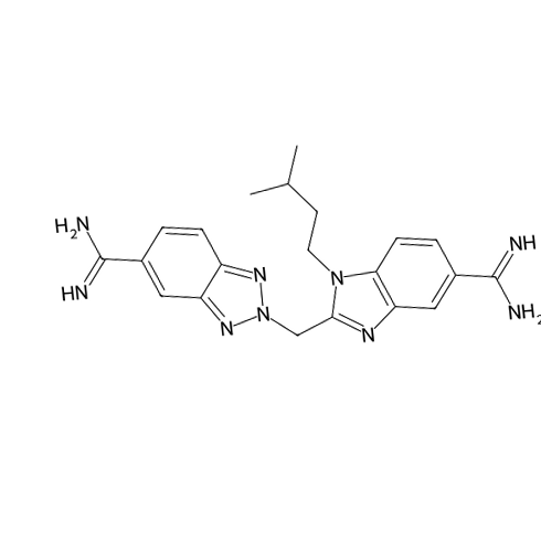 CC(C)CCn1c(Cn2nc3ccc(C(=N)N)cc3n2)nc2cc(C(=N)N)ccc21